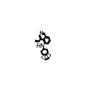 C=Cc1cncc2cccc(NC3CCC4(CC3)OCCO4)c12